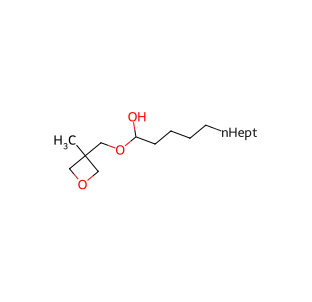 CCCCCCCCCCCC(O)OCC1(C)COC1